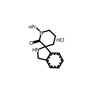 CCCN1CCCC2(NCc3ccccc32)C1=O.Cl